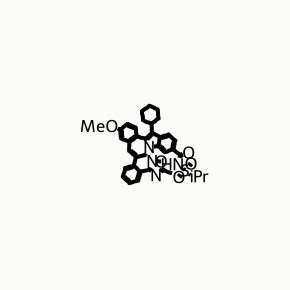 COc1ccc2c(c1)C=C(c1ccccc1-c1noc(C)n1)Cn1c-2c(C2CCCCC2)c2ccc(C(=O)NS(=O)(=O)C(C)C)cc21